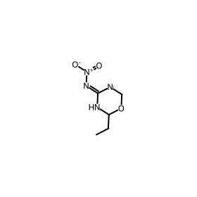 CCC1NC(=N[N+](=O)[O-])[N]CO1